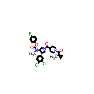 CN(C(=O)Oc1ccc(F)cc1)[C@@H]1CN(C(=O)C2CCN(C(=O)C3(C)CC3)CC2)C[C@@H]1c1ccc(Cl)c(Cl)c1